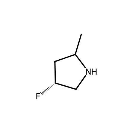 CC1C[C@@H](F)CN1